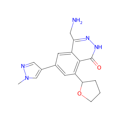 Cn1cc(-c2cc(C3CCCO3)c3c(=O)[nH]nc(CN)c3c2)cn1